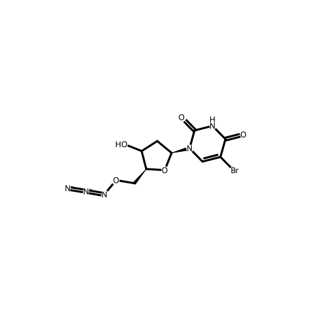 [N-]=[N+]=NOC[C@@H]1O[C@H](n2cc(Br)c(=O)[nH]c2=O)CC1O